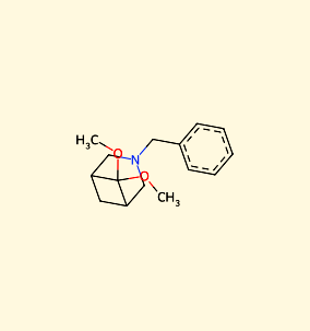 COC1(OC)C2CC1CN(Cc1ccccc1)C2